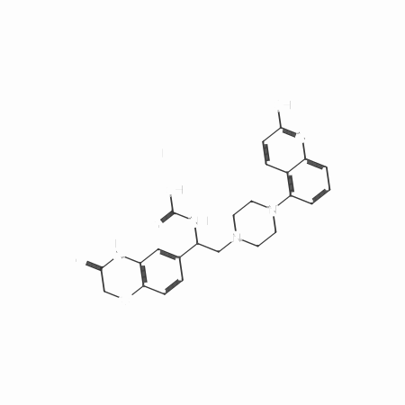 CC(=O)NC(CN1CCN(c2cccc3nc(C)ccc23)CC1)c1ccc2c(c1)NC(=O)CO2.Cl